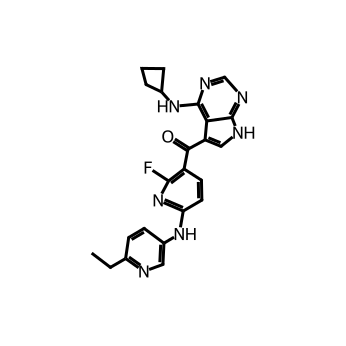 CCc1ccc(Nc2ccc(C(=O)c3c[nH]c4ncnc(NC5CCC5)c34)c(F)n2)cn1